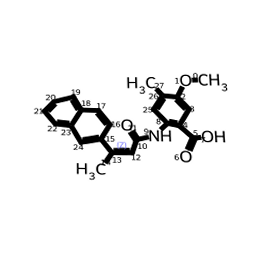 COc1cc(C(=O)O)c(NC(=O)/C=C(/C)c2ccc3ccccc3c2)cc1C